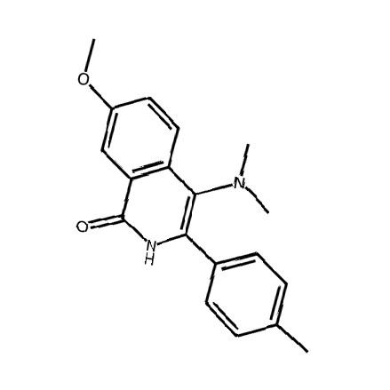 COc1ccc2c(N(C)C)c(-c3ccc(C)cc3)[nH]c(=O)c2c1